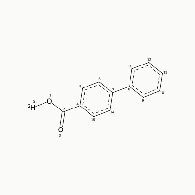 [2H]OC(=O)c1ccc(-c2ccccc2)cc1